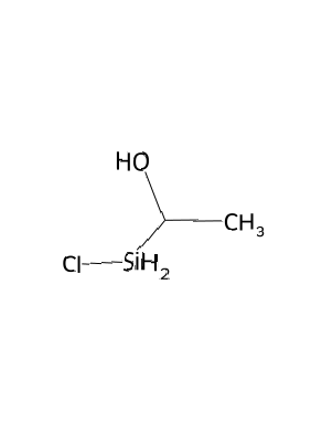 CC(O)[SiH2]Cl